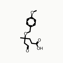 COc1ccc(COC(C)(CC=O)CCC(=O)O)cc1